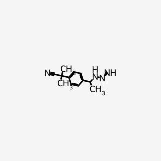 CC(NN=N)c1ccc(C(C)(C)C#N)cc1